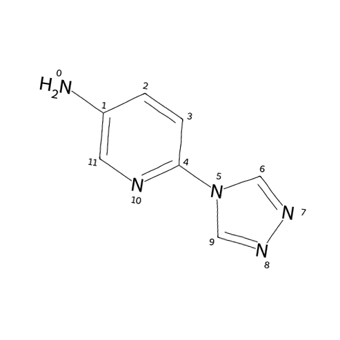 Nc1ccc(-n2cnnc2)nc1